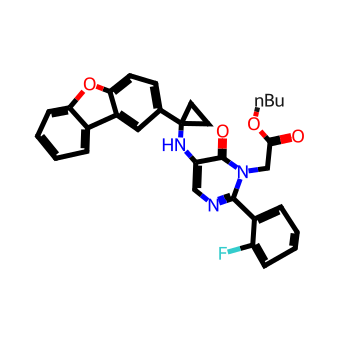 CCCCOC(=O)Cn1c(-c2ccccc2F)ncc(NC2(c3ccc4oc5ccccc5c4c3)CC2)c1=O